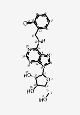 OC[C@H]1OC(n2cnc3c(NCc4ccccc4Cl)ncnc32)[C@@H](O)[C@@H]1O